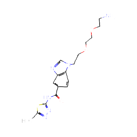 Cc1nnc(NC(=O)c2ccc3c(c2)ncn3CCOCCOCCN)s1